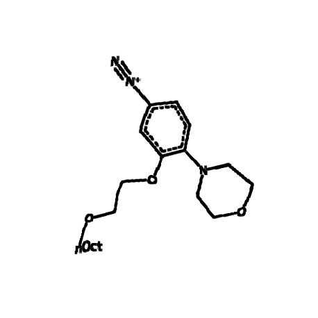 CCCCCCCCOCCOc1cc([N+]#N)ccc1N1CCOCC1